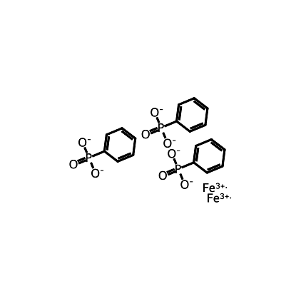 O=P([O-])([O-])c1ccccc1.O=P([O-])([O-])c1ccccc1.O=P([O-])([O-])c1ccccc1.[Fe+3].[Fe+3]